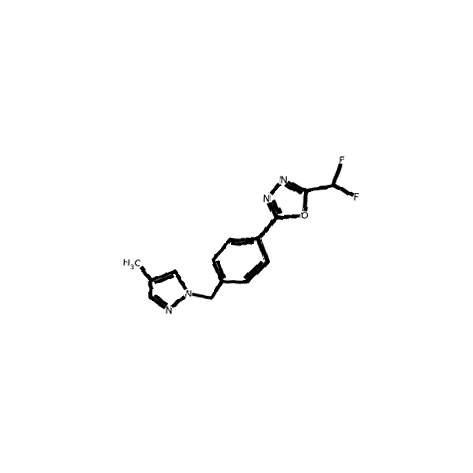 Cc1cnn(Cc2ccc(-c3nnc(C(F)F)o3)cc2)c1